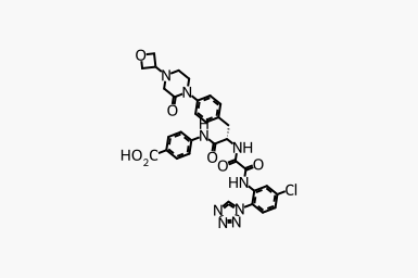 O=C(Nc1cc(Cl)ccc1-n1cnnn1)C(=O)N[C@@H](Cc1ccc(N2CCN(C3COC3)CC2=O)cc1)C(=O)Nc1ccc(C(=O)O)cc1